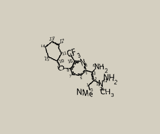 CNC/C(=C(/N)c1ccc(OC2CCCCC2)c(C(F)(F)F)n1)N(C)N